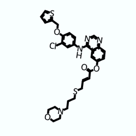 O=C(C=CCSCCCN1CCOCC1)Oc1ccc2ncnc(Nc3ccc(OCc4cccs4)c(Cl)c3)c2c1